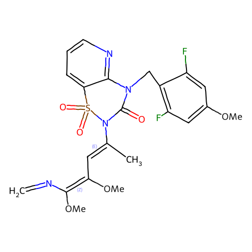 C=N/C(OC)=C(\C=C(/C)N1C(=O)N(Cc2c(F)cc(OC)cc2F)c2ncccc2S1(=O)=O)OC